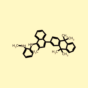 CNc1ccccc1Nc1c(C)cc(-c2ccc3c(c2)C(C)(C)c2ccccc2C3(C)C)c2ccccc12